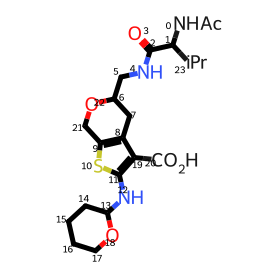 CC(=O)NC(C(=O)NCC1Cc2c(sc(NC3CCCCO3)c2C(=O)O)CO1)C(C)C